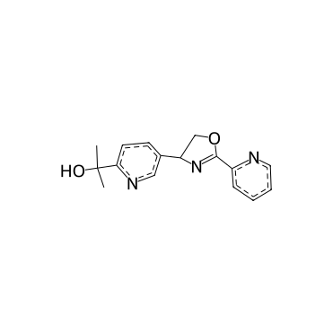 CC(C)(O)c1ccc(C2COC(c3ccccn3)=N2)cn1